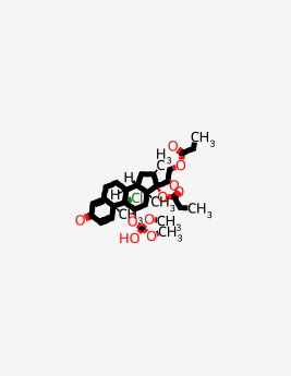 CCC(=O)OCC(=O)[C@@]1(OC(=O)CC)[C@@H](C)C[C@H]2[C@@H]3CCC4=CC(=O)C=C[C@]4(C)C3(Cl)[C@@H](OC(O)(OC)OC)C[C@@]21C